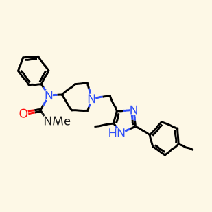 CNC(=O)N(c1ccccc1)C1CCN(Cc2nc(-c3ccc(C)cc3)[nH]c2C)CC1